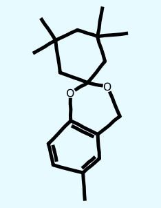 Cc1ccc2c(c1)COC1(CC(C)(C)CC(C)(C)C1)O2